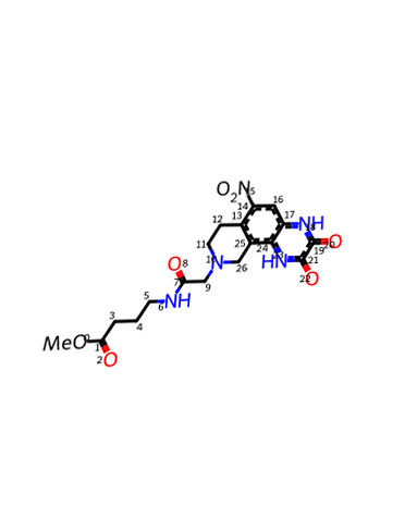 COC(=O)CCCNC(=O)CN1CCc2c([N+](=O)[O-])cc3[nH]c(=O)c(=O)[nH]c3c2C1